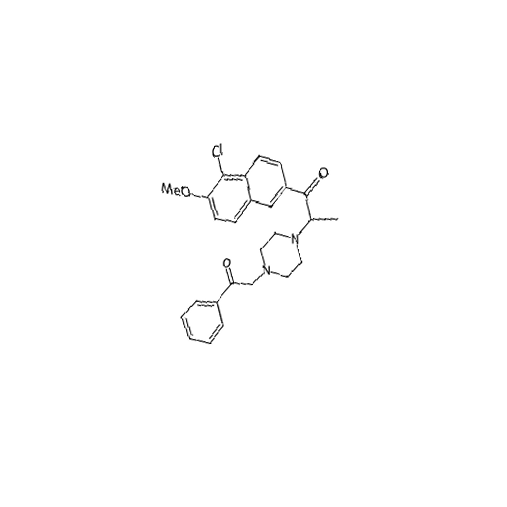 COc1ccc2cc(C(=O)C(C)N3CCN(CC(=O)c4ccccc4)CC3)ccc2c1Cl